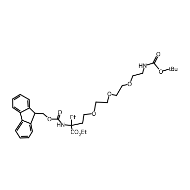 CCOC(=O)C(CC)(CCOCCOCCOCCNC(=O)OC(C)(C)C)NC(=O)OCC1c2ccccc2-c2ccccc21